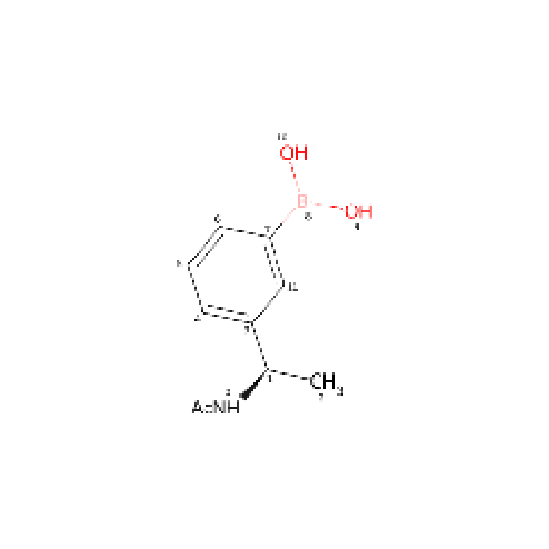 CC(=O)N[C@H](C)c1cccc(B(O)O)c1